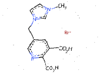 C[n+]1ccn(Cc2cnc(C(=O)O)c(C(=O)O)c2)c1.[Br-]